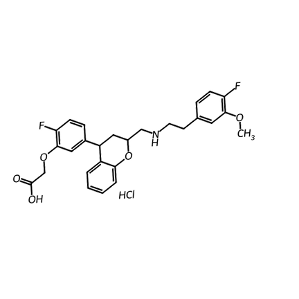 COc1cc(CCNCC2CC(c3ccc(F)c(OCC(=O)O)c3)c3ccccc3O2)ccc1F.Cl